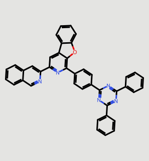 c1ccc(-c2nc(-c3ccccc3)nc(-c3ccc(-c4nc(-c5cc6ccccc6cn5)cc5c4oc4ccccc45)cc3)n2)cc1